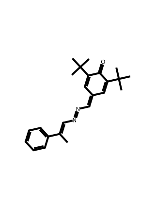 C/C(=C\N=N\C=C1C=C(C(C)(C)C)C(=O)C(C(C)(C)C)=C1)c1ccccc1